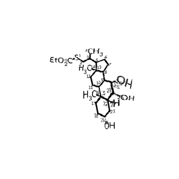 CCOC(=O)SCC(C)C1CCC2C3C(CC[C@]12C)[C@@]1(C)CC[C@@H](O)C[C@H]1[C@H](O)[C@@H]3O